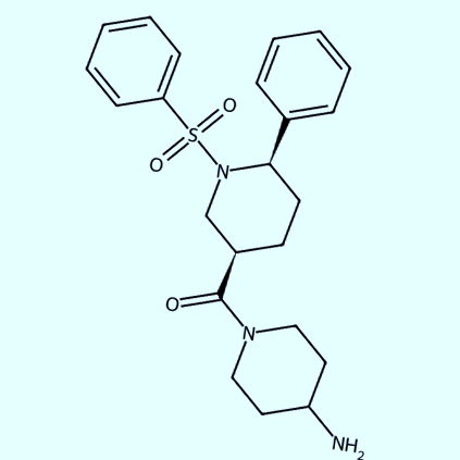 NC1CCN(C(=O)[C@@H]2CC[C@H](c3ccccc3)N(S(=O)(=O)c3ccccc3)C2)CC1